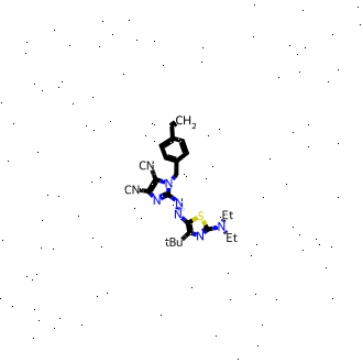 [C-]#[N+]c1nc(/N=N/c2sc(N(CC)CC)nc2C(C)(C)C)n(Cc2ccc(C=C)cc2)c1[N+]#[C-]